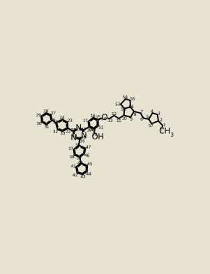 CCC1CCC(CCC2CC(CCCOc3ccc(-c4nc(-c5ccc(-c6ccccc6)cc5)nc(-c5ccc(-c6ccccc6)cc5)n4)c(O)c3)C3CCCC23)C1